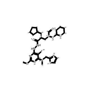 CSc1nc(NNC(=O)[C@@H](CC2CCCC2)CN(C=O)OC2CCCCO2)c(F)c(N(C)Cc2nccs2)n1